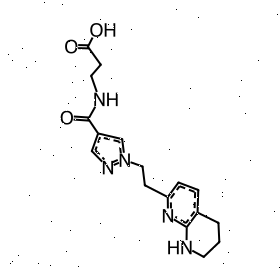 O=C(O)CCNC(=O)c1cnn(CCc2ccc3c(n2)NCCC3)c1